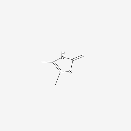 C=C1NC(C)=C(C)S1